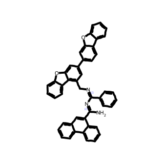 N/C(=N\C(=N/Cc1cc(-c2ccc3c(c2)oc2ccccc23)cc2oc3ccccc3c12)c1ccccc1)c1cc2ccccc2c2ccccc12